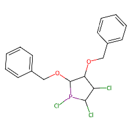 ClC1C(OCc2ccccc2)C(OCc2ccccc2)P(Cl)C1Cl